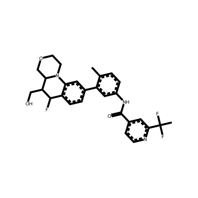 Cc1ccc(NC(=O)c2ccnc(C(C)(F)F)c2)cc1-c1ccc2c(c1)N1CCOCC1C(CO)C2F